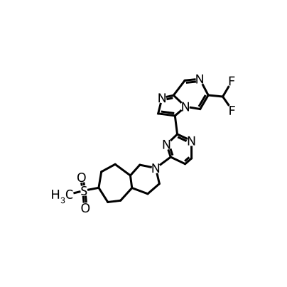 CS(=O)(=O)C1CCC2CCN(c3ccnc(-c4cnc5cnc(C(F)F)cn45)n3)CC2CC1